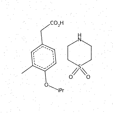 Cc1cc(CC(=O)O)ccc1OC(C)C.O=S1(=O)CCNCC1